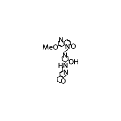 COc1cnc2ccc(=O)n(CCN3CCC(NCc4cc5c(cn4)OCCC5)[C@H](O)C3)c2c1